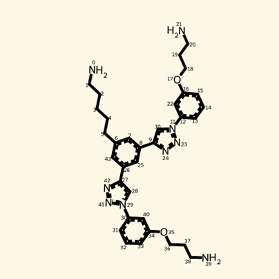 NCCCCCc1cc(-c2cn(-c3cccc(OCCCN)c3)nn2)cc(-c2cn(-c3cccc(OCCCN)c3)nn2)c1